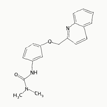 CN(C)C(=O)Nc1cccc(OCc2ccc3ccccc3n2)c1